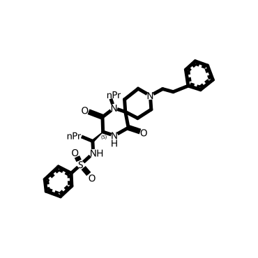 CCCC(NS(=O)(=O)c1ccccc1)[C@@H]1NC(=O)C2(CCN(CCc3ccccc3)CC2)N(CCC)C1=O